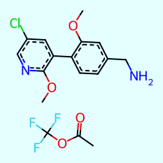 CC(=O)OC(F)(F)F.COc1cc(CN)ccc1-c1cc(Cl)cnc1OC